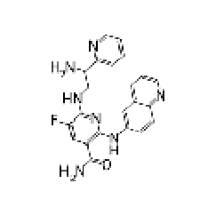 NC(=O)c1cc(F)c(NCC(N)c2ccccn2)nc1Nc1ccc2ncccc2c1